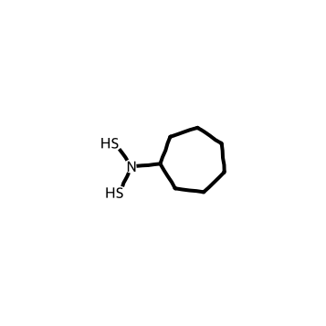 SN(S)C1CCCCCC1